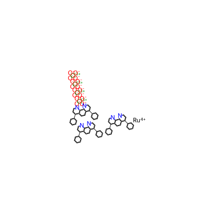 [O-][Cl+3]([O-])([O-])[O-].[O-][Cl+3]([O-])([O-])[O-].[O-][Cl+3]([O-])([O-])[O-].[O-][Cl+3]([O-])([O-])[O-].[Ru+4].c1ccc(-c2ccnc3c2ccc2c(-c4ccccc4)ccnc23)cc1.c1ccc(-c2ccnc3c2ccc2c(-c4ccccc4)ccnc23)cc1.c1ccc(-c2ccnc3c2ccc2c(-c4ccccc4)ccnc23)cc1